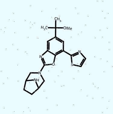 COC(C)(C)c1cc(-c2nccs2)c2oc(N3CC4CCC(C3)N4)nc2c1